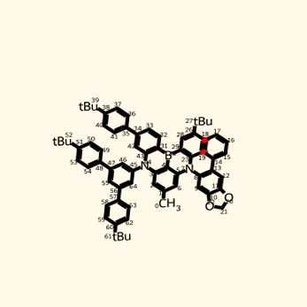 Cc1cc2c3c(c1)N(c1cc4c(cc1-c1ccccc1)OCO4)c1ccc(C(C)(C)C)cc1B3c1ccc(-c3ccc(C(C)(C)C)cc3)cc1N2c1cc(-c2ccc(C(C)(C)C)cc2)cc(-c2ccc(C(C)(C)C)cc2)c1